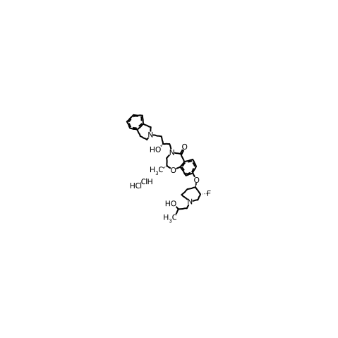 CC(O)CN1CC[C@@H](Oc2ccc3c(c2)O[C@H](C)CN(C[C@H](O)CN2CCc4ccccc4C2)C3=O)[C@H](F)C1.Cl.Cl